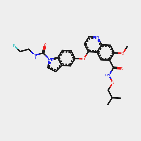 COc1cc2nccc(Oc3ccc4c(ccn4C(=O)NCCF)c3)c2cc1C(=O)NOCC(C)C